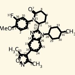 COc1ccc(N2C(=O)CCC[C@H]2c2nc3cc(-c4c(C)noc4C)ccc3n2C2CCC(C)CC2)cc1F